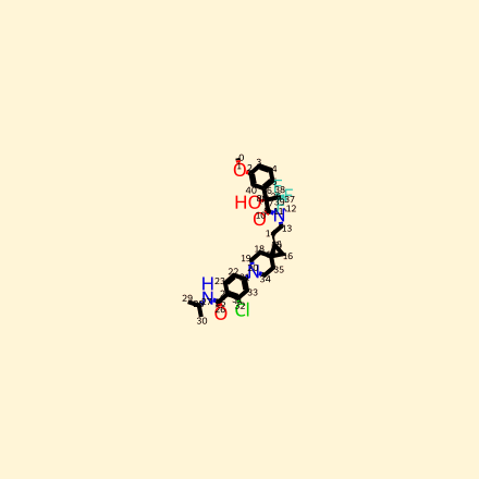 COc1cccc([C@@](O)(C(=O)N(C)CC[C@H]2CC23CCN(c2ccc(C(=O)NC(C)C)c(Cl)c2)CC3)C(F)(F)F)c1